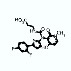 Cn1ccc(O)c(N(C(=O)NCCC(=O)O)c2ccc(-c3ccc(F)cc3F)s2)c1=O